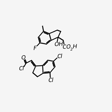 Cc1cc(F)cc2c1CCC2(O)CC(=O)O.O=C(Cl)/C=C1\CCc2c(Cl)cc(Cl)cc21